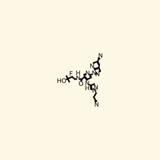 CC(C)(O)[C@H](F)CNC(=O)c1cnc(-n2ncc3cc(C#N)cnc32)cc1Nc1cnn(CCC#N)c1